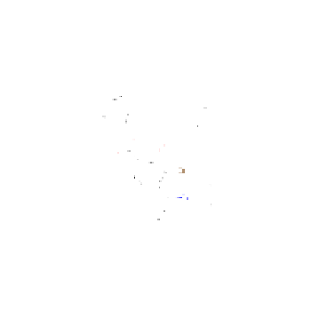 CCCCOc1c(Br)c(C(C)N2CCCCC2)c(F)c(C)c1C(=O)Oc1ccccc1